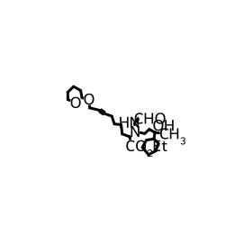 CCOC(=O)C(CCCCC#CCOC1CCCCO1)N(CCC(C)(O)C1CCCCC1)NC=O